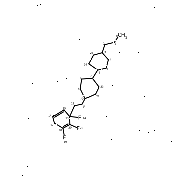 CCCC1CCC(C2CCC(CCC3(F)C=CCC(F)=C3F)CC2)CC1